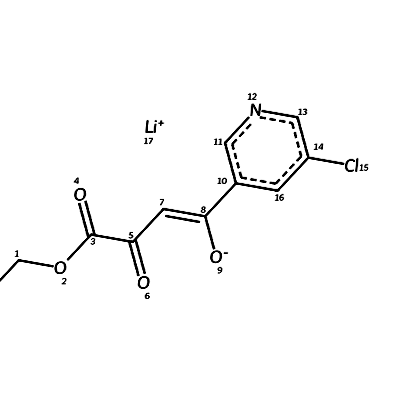 CCOC(=O)C(=O)C=C([O-])c1cncc(Cl)c1.[Li+]